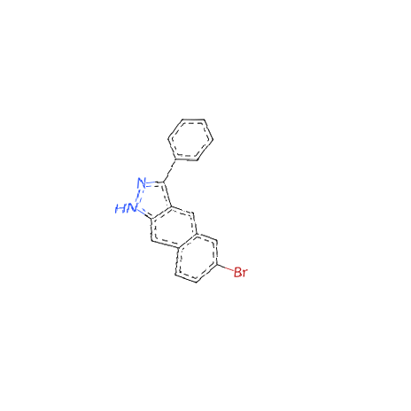 Brc1ccc2cc3[nH]nc(-c4ccccc4)c3cc2c1